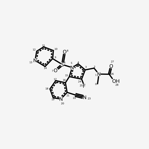 CN(Cc1cn(S(=O)(=O)c2cccnc2)c(-c2cccnc2C#N)c1F)C(=O)O